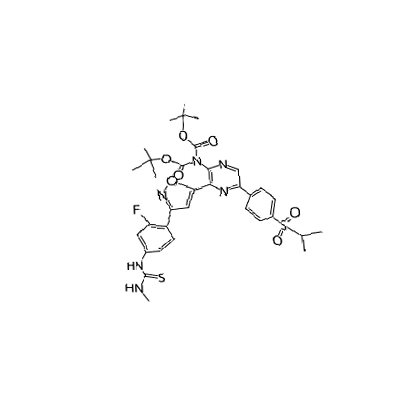 CNC(=S)Nc1ccc(-c2cc(-c3nc(-c4ccc(S(=O)(=O)C(C)C)cc4)cnc3N(C(=O)OC(C)(C)C)C(=O)OC(C)(C)C)on2)c(F)c1